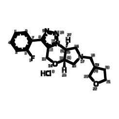 Cl.Fc1ccccc1-c1nnn2c1CO[C@H]1CN(C[C@H]3CCOC3)C[C@@H]12